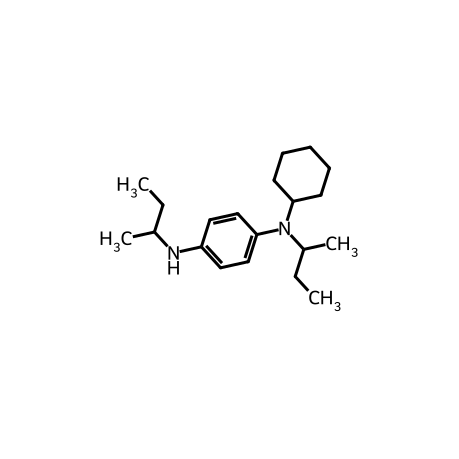 CCC(C)Nc1ccc(N(C(C)CC)C2CCCCC2)cc1